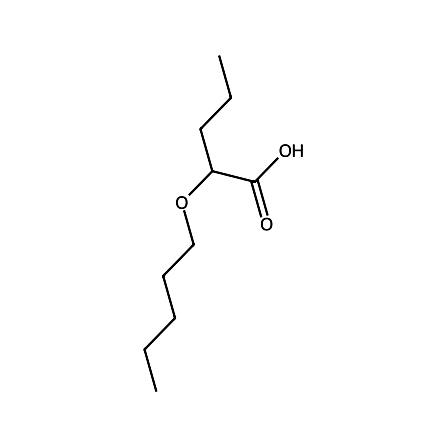 CCCCCOC(CCC)C(=O)O